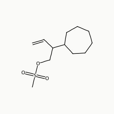 C=CC(COS(C)(=O)=O)C1CCCCCC1